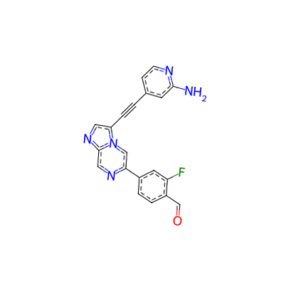 Nc1cc(C#Cc2cnc3cnc(-c4ccc(C=O)c(F)c4)cn23)ccn1